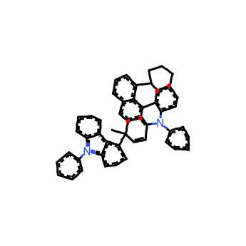 CC1(c2cccc3c2c2ccccc2n3-c2ccccc2)C=CC(N(c2ccccc2)c2ccccc2-c2cccc3cccc(C4CCCCC4)c23)=CC1